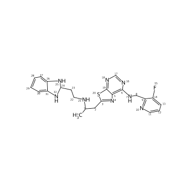 CC(Cc1nc2c(NCc3ncccc3F)ncnc2s1)NCCC1Nc2ccccc2N1